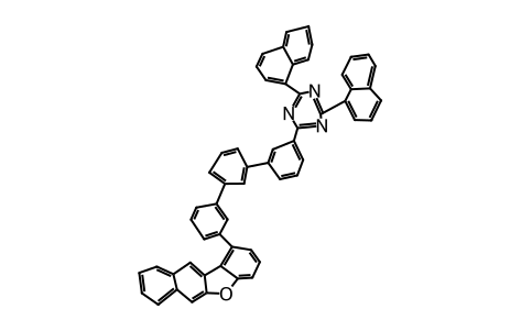 c1cc(-c2cccc(-c3nc(-c4cccc5ccccc45)nc(-c4cccc5ccccc45)n3)c2)cc(-c2cccc(-c3cccc4oc5cc6ccccc6cc5c34)c2)c1